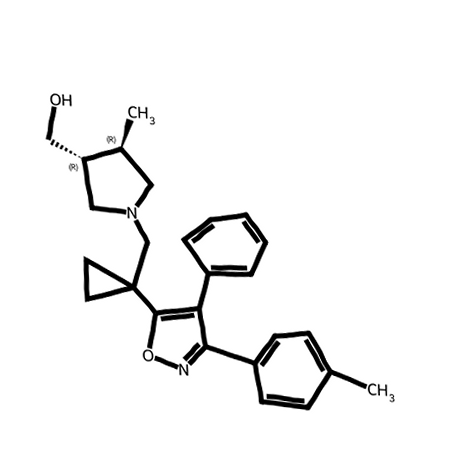 Cc1ccc(-c2noc(C3(CN4C[C@H](CO)[C@@H](C)C4)CC3)c2-c2ccccc2)cc1